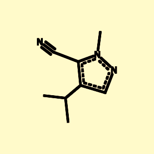 CC(C)c1cnn(C)c1C#N